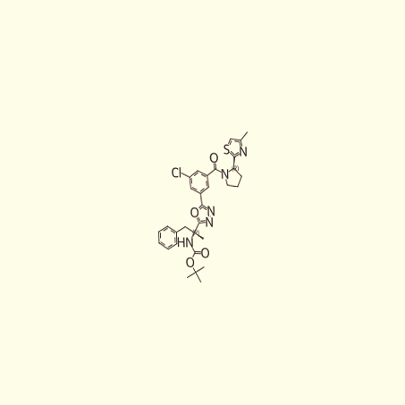 Cc1csc([C@H]2CCCN2C(=O)c2cc(Cl)cc(-c3nnc([C@@](C)(Cc4ccccc4)NC(=O)OC(C)(C)C)o3)c2)n1